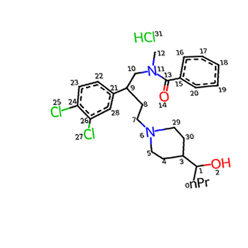 CCCC(O)C1CCN(CCC(CN(C)C(=O)c2ccccc2)c2ccc(Cl)c(Cl)c2)CC1.Cl